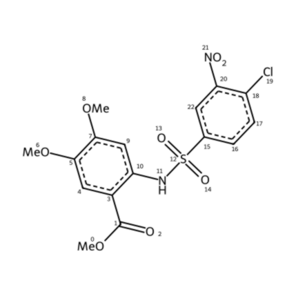 COC(=O)c1cc(OC)c(OC)cc1NS(=O)(=O)c1ccc(Cl)c([N+](=O)[O-])c1